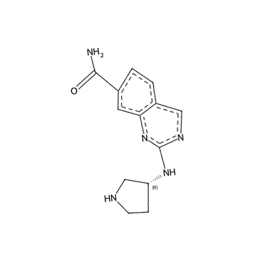 NC(=O)c1ccc2cnc(N[C@@H]3CCNC3)nc2c1